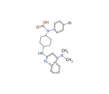 CN(C)c1cc(NC2CCC(N(C(=O)O)c3ccc(Br)cc3)CC2)nc2ccccc12